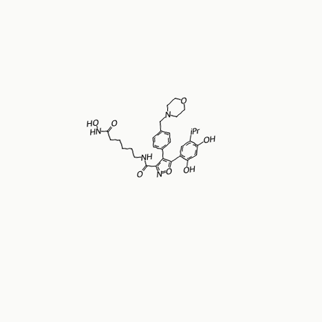 CC(C)c1cc(-c2onc(C(=O)NCCCCCC(=O)NO)c2-c2ccc(CN3CCOCC3)cc2)c(O)cc1O